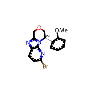 COc1ccccc1[C@H]1COCc2nc3ccc(Br)nc3n21